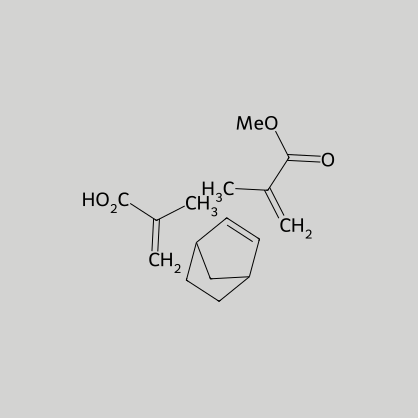 C1=CC2CCC1C2.C=C(C)C(=O)O.C=C(C)C(=O)OC